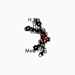 COc1ccc(C[C@H](NC(=O)[C@@H](C)NC(=O)C2COC2)C(=O)N[C@@H](CC2=C(C3CCC(C[C@H](NC(=O)[C@H](Cc4ccc(S(N)(=O)=O)cc4)NC(=O)[C@H](C)NC(=O)CN4CCOCC4)C(=O)[C@@]4(C)CO4)C3)CCC2)C(=O)[C@@]2(C)CO2)cc1